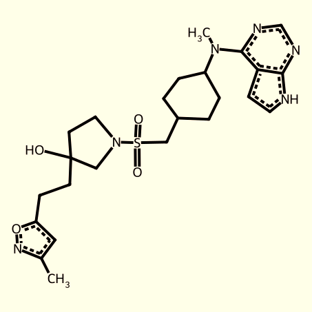 Cc1cc(CCC2(O)CCN(S(=O)(=O)CC3CCC(N(C)c4ncnc5[nH]ccc45)CC3)C2)on1